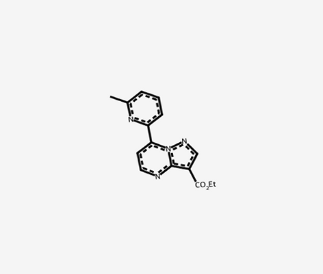 CCOC(=O)c1cnn2c(-c3cccc(C)n3)ccnc12